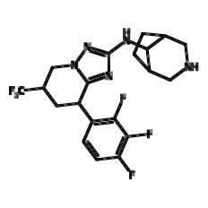 Fc1ccc(C2CC(C(F)(F)F)Cn3nc(NC4C5CCC4CNC5)nc32)c(F)c1F